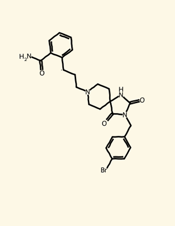 NC(=O)c1ccccc1[CH]CCN1CCC2(CC1)NC(=O)N(Cc1ccc(Br)cc1)C2=O